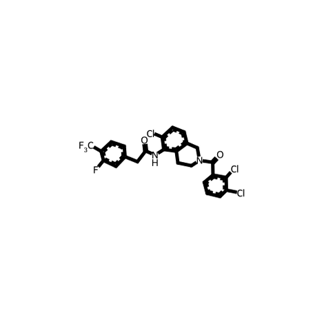 O=C(Cc1ccc(C(F)(F)F)c(F)c1)Nc1c(Cl)ccc2c1CCN(C(=O)c1cccc(Cl)c1Cl)C2